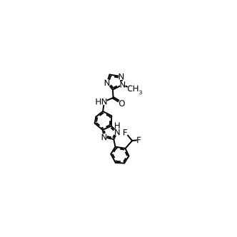 Cn1ncnc1C(=O)Nc1ccc2nc(-c3ccccc3C(F)F)[nH]c2c1